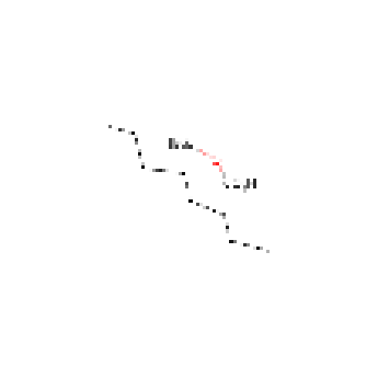 CC(C)(C)OC(=O)O.CCCCCCCC